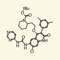 Cc1cc(C)cc(-c2c(OCCC3CCCCN3C(=O)OC(C)(C)C)c3cc(NC(=O)Nc4ccncn4)c(Cl)cc3[nH]c2=O)c1